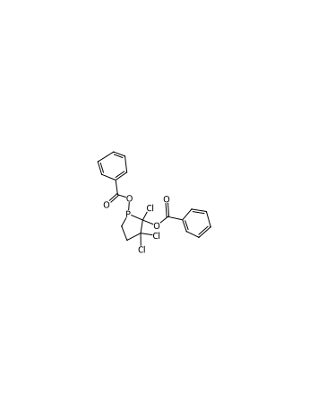 O=C(OP1CCC(Cl)(Cl)C1(Cl)OC(=O)c1ccccc1)c1ccccc1